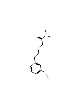 CCCCOc1cccc(CCNCC(=S)N(C)C)c1